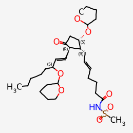 CCCCC[C@@H](C=C[C@H]1C(=O)C[C@H](OC2CCCCO2)[C@@H]1CC=CCCCC(=O)NS(C)(=O)=O)OC1CCCCO1